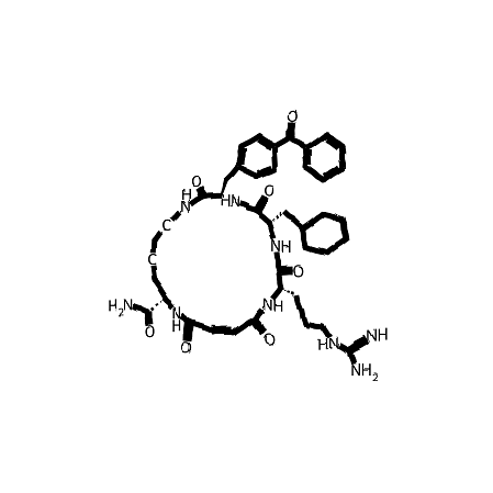 N=C(N)NCCC[C@@H]1NC(=O)C=CC(=O)N[C@H](C(N)=O)CCCCNC(=O)[C@@H](Cc2ccc(C(=O)c3ccccc3)cc2)NC(=O)[C@H](CC2CCCCC2)NC1=O